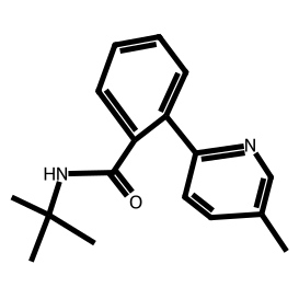 Cc1ccc(-c2ccccc2C(=O)NC(C)(C)C)nc1